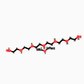 CCCCCOCCCC.OCCOCCOCCOCCOCCOCCO